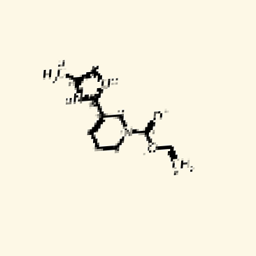 C=COC(=O)N1CCC=C(c2nc(C)co2)C1